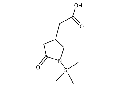 C[Si](C)(C)N1CC(CC(=O)O)CC1=O